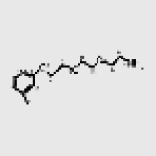 Cc1ccnc(OCCOCCOCCN)c1